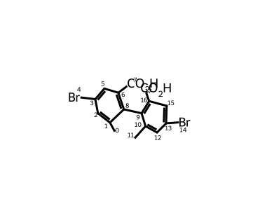 Cc1cc(Br)cc(C(=O)O)c1-c1c(C)cc(Br)cc1C(=O)O